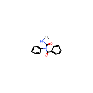 CNC(=O)N(C(=O)c1ccccc1)c1ccccc1